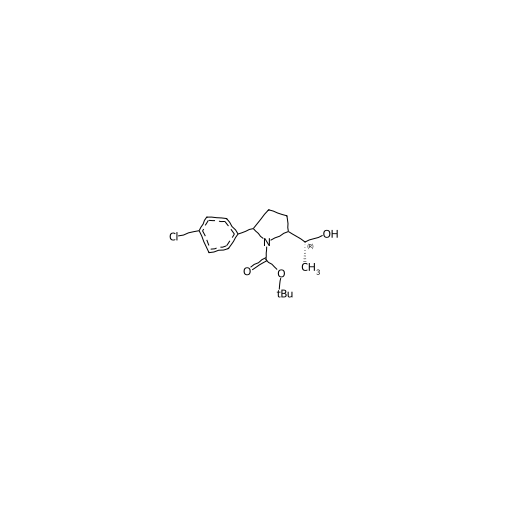 C[C@@H](O)C1CCC(c2ccc(Cl)cc2)N1C(=O)OC(C)(C)C